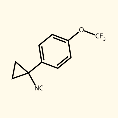 [C-]#[N+]C1(c2ccc(OC(F)(F)F)cc2)CC1